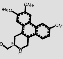 COc1ccc2c3c(c4cc(OC)c(OC)cc4c2c1)C[C@H](CO)NC3